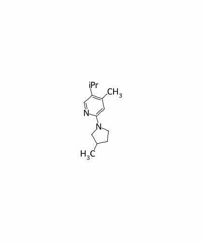 Cc1cc(N2CCC(C)C2)ncc1C(C)C